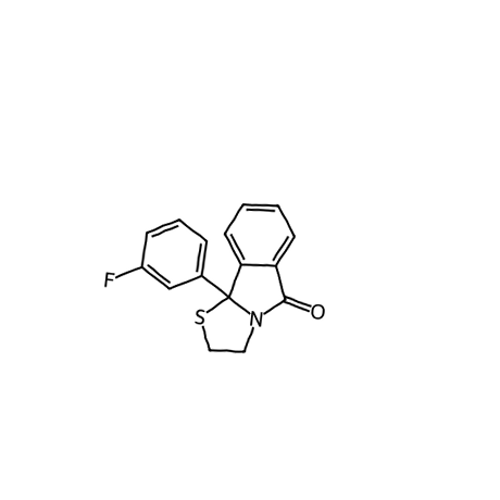 O=C1c2ccccc2C2(c3cccc(F)c3)SCCN12